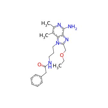 CCOCc1nc2c(N)nc(C)c(C)c2n1CCCNC(=O)Cc1ccccc1